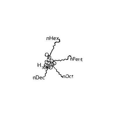 CCCCC/C=C\C/C=C\CCCCCCCC(=O)O[C@H]1[C@H](OC(=O)CCCCCCC/C=C\CCCCCCCC)[C@@H](OC(=O)CCCCCCCCCCCCCCC)[C@H](C)O[C@@H]1COC(=O)CCCCCCC/C=C\C/C=C\CCCCCC